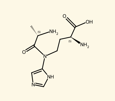 C[C@H](N)C(=O)N(CC[C@H](N)C(=O)O)c1cnc[nH]1